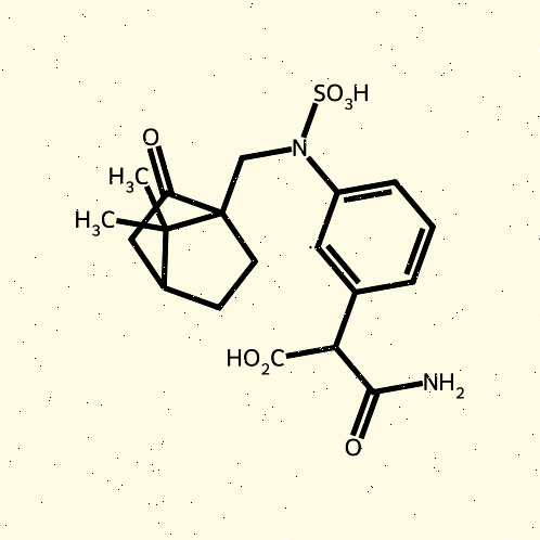 CC1(C)C2CCC1(CN(c1[c]c(C(C(N)=O)C(=O)O)ccc1)S(=O)(=O)O)C(=O)C2